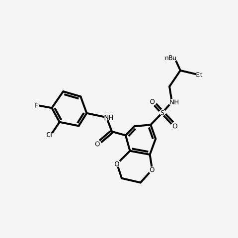 CCCCC(CC)CNS(=O)(=O)c1cc2c(c(C(=O)Nc3ccc(F)c(Cl)c3)c1)OCCO2